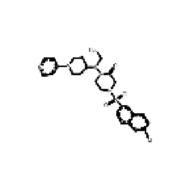 CCN(C1CCN(c2ccncc2)CC1)N1CCN(S(=O)(=O)c2ccc3cc(Cl)ccc3c2)CC1=O